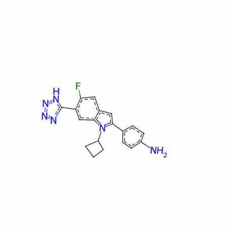 Nc1ccc(-c2cc3cc(F)c(-c4nnn[nH]4)cc3n2C2CCC2)cc1